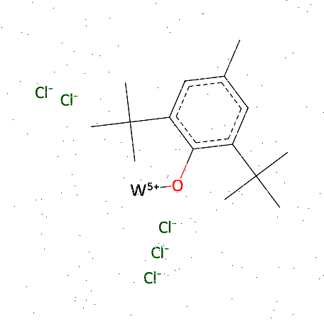 Cc1cc(C(C)(C)C)c([O][W+5])c(C(C)(C)C)c1.[Cl-].[Cl-].[Cl-].[Cl-].[Cl-]